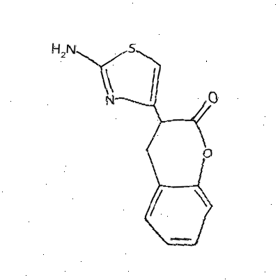 Nc1nc(C2Cc3ccccc3OC2=O)cs1